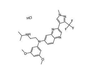 COc1cc(OC)cc(N(CCNC(C)C)c2ccc3ncc(-c4cn(C)nc4C(F)(F)F)nc3c2)c1.Cl